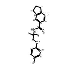 CC(C)(COc1ccc(F)cn1)NC(=O)c1cnc2c(c1)CCC2